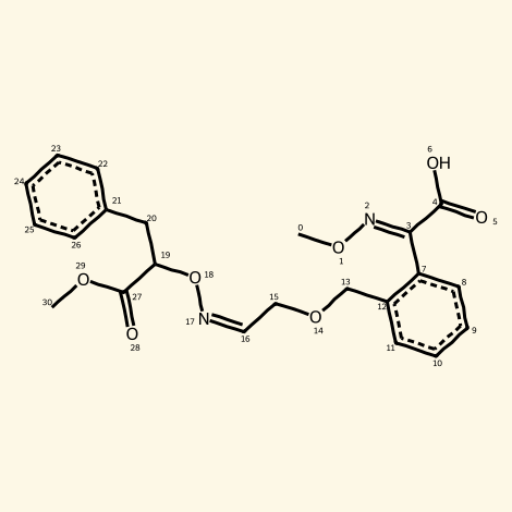 CO/N=C(/C(=O)O)c1ccccc1COC/C=N\OC(Cc1ccccc1)C(=O)OC